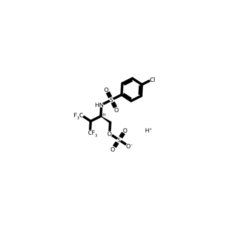 O=S(=O)([O-])OC[C@H](NS(=O)(=O)c1ccc(Cl)cc1)C(C(F)(F)F)C(F)(F)F.[H+]